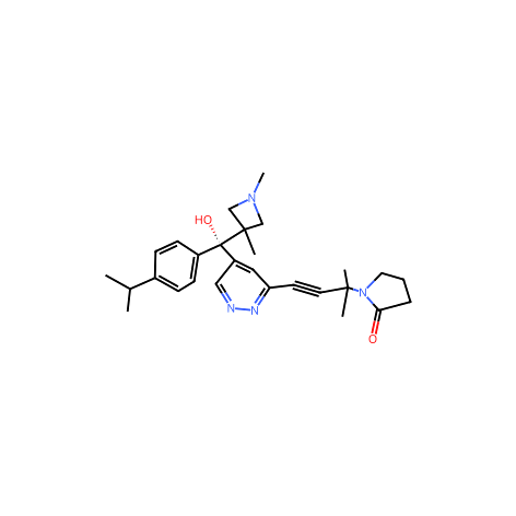 CC(C)c1ccc([C@](O)(c2cnnc(C#CC(C)(C)N3CCCC3=O)c2)C2(C)CN(C)C2)cc1